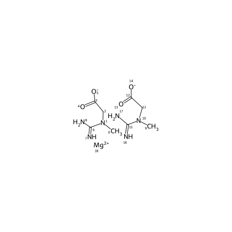 CN(CC(=O)[O-])C(=N)N.CN(CC(=O)[O-])C(=N)N.[Mg+2]